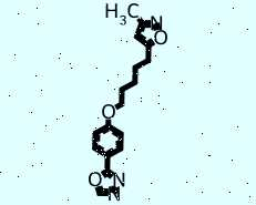 Cc1cc(CCCCCOc2ccc(-c3nnco3)cc2)on1